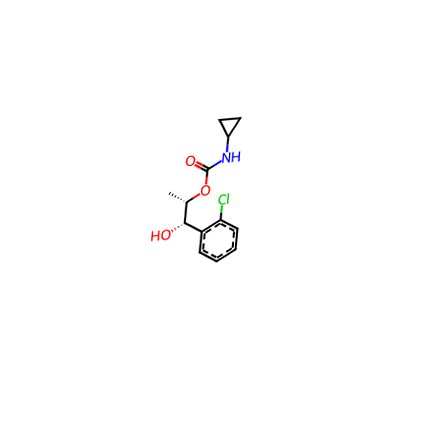 C[C@H](OC(=O)NC1CC1)[C@@H](O)c1ccccc1Cl